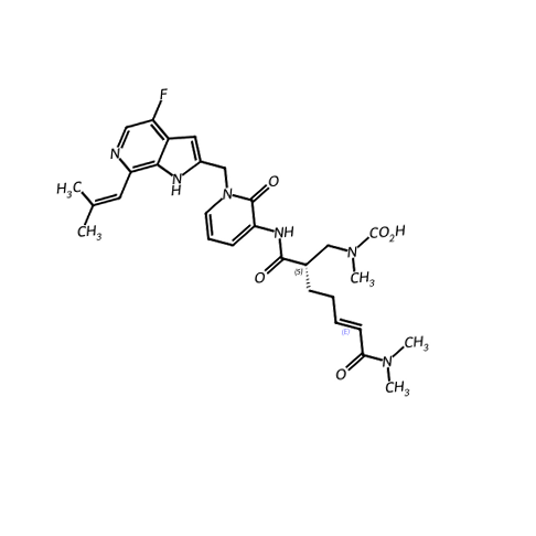 CC(C)=Cc1ncc(F)c2cc(Cn3cccc(NC(=O)[C@@H](CC/C=C/C(=O)N(C)C)CN(C)C(=O)O)c3=O)[nH]c12